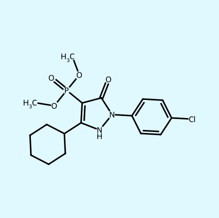 COP(=O)(OC)c1c(C2CCCCC2)[nH]n(-c2ccc(Cl)cc2)c1=O